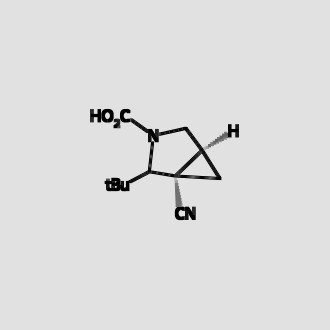 CC(C)(C)C1N(C(=O)O)C[C@H]2C[C@@]12C#N